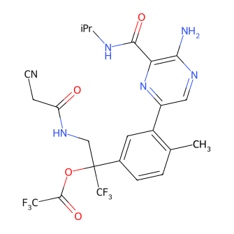 Cc1ccc(C(CNC(=O)CC#N)(OC(=O)C(F)(F)F)C(F)(F)F)cc1-c1cnc(N)c(C(=O)NC(C)C)n1